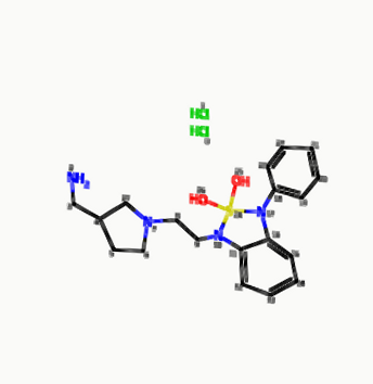 Cl.Cl.NCC1CCN(CCN2c3ccccc3N(c3ccccc3)S2(O)O)C1